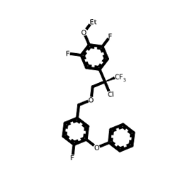 CCOc1c(F)cc([C@](Cl)(COCc2ccc(F)c(Oc3ccccc3)c2)C(F)(F)F)cc1F